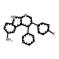 Nc1ccc2[nH]c3ncc(-c4ccc(F)cc4)c(-c4ccccc4)c3c2c1